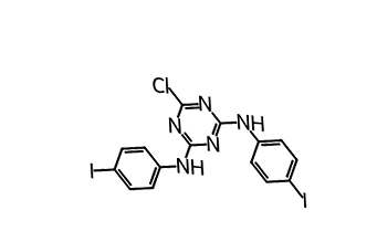 Clc1nc(Nc2ccc(I)cc2)nc(Nc2ccc(I)cc2)n1